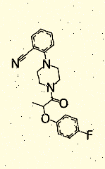 CC(Oc1ccc(F)cc1)C(=O)N1CCN(c2ccccc2C#N)CC1